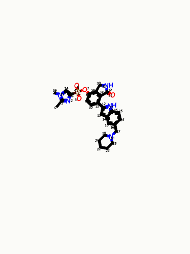 Cc1nc(S(=O)(=O)Oc2ccc(-c3cc4cc(CN5CCCCC5)ccc4[nH]3)c3c2CNC3=O)cn1C